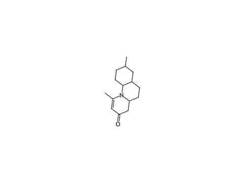 CC1=CC(=O)CC2CCC3CC(C)CCC3N12